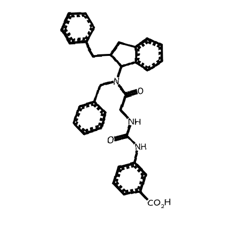 O=C(NCC(=O)N(Cc1ccccc1)C1c2ccccc2CC1Cc1ccccc1)Nc1cccc(C(=O)O)c1